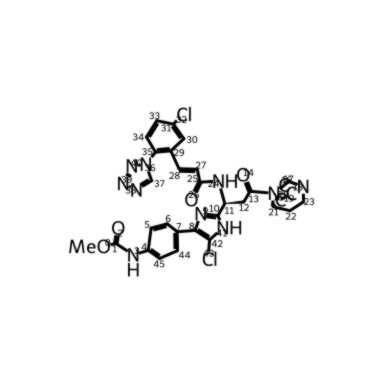 COC(=O)Nc1ccc(-c2nc([C@H](CC(=O)N3CCN4CCC3CC4)NC(=O)/C=C/c3cc(Cl)ccc3-n3cnnn3)[nH]c2Cl)cc1